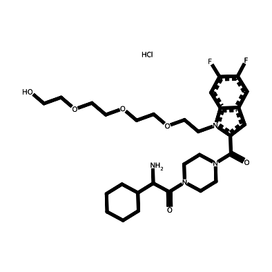 Cl.NC(C(=O)N1CCN(C(=O)c2cc3cc(F)c(F)cc3n2CCOCCOCCOCCO)CC1)C1CCCCC1